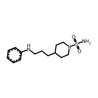 NS(=O)(=O)N1CCC(CCCNc2ccccc2)CC1